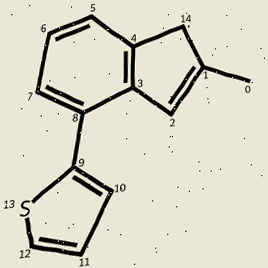 CC1=Cc2c(cccc2-c2cccs2)[CH]1